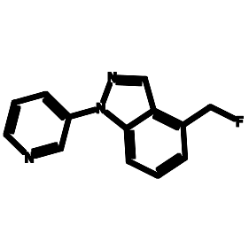 FCc1cccc2c1cnn2-c1cccnc1